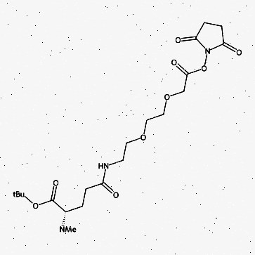 CN[C@@H](CCC(=O)NCCOCCOCC(=O)ON1C(=O)CCC1=O)C(=O)OC(C)(C)C